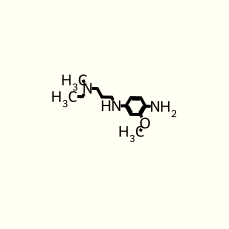 CCN(C)CCCNc1ccc(N)c(OC)c1